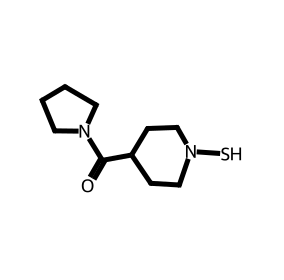 O=C(C1CCN(S)CC1)N1CCCC1